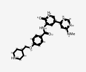 CNc1cc(-c2c[nH]c(=O)c(NC(=O)c3ccc(OCC4CCNCC4)cc3)c2)ncn1